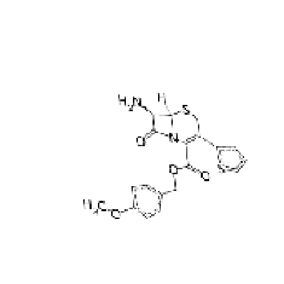 COc1ccc(COC(=O)C2=C(c3cccs3)CS[C@@H]3[C@H](N)C(=O)N23)cc1